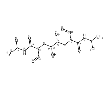 CC(Cl)NC(=O)N(C[C@@H](O)[C@H](O)CN(N=O)C(=O)NC(C)Cl)N=O